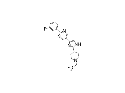 Fc1cccc(-c2ncc(-c3c[nH]c(C4CCN(CC(F)(F)F)CC4)n3)cn2)c1